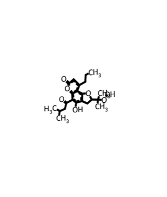 CCCc1cc(=O)oc2c(C(=O)CC(C)C)c(O)c3c(c12)OC(C(C)(C)OO)C3